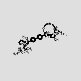 COC(=O)N[C@H]1CCCCCCOCc2[nH]c(nc2-c2ccc(-c3ccc(-c4cnc(C5(C)CCCN5C(=O)[C@@H](NC(=O)OC)C(C)C)[nH]4)cc3)cc2)[C@@H]2C[C@H](O)CN2C1=O